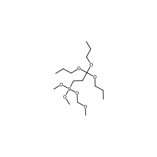 CCCOC(CC[Si](OC)(OC)OCOC)(OCCC)OCCC